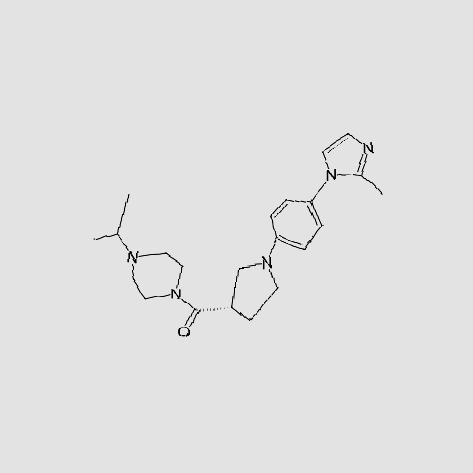 Cc1nccn1-c1ccc(N2CC[C@H](C(=O)N3CCN(C(C)C)CC3)C2)cc1